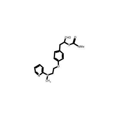 CNC(=O)SC(C=O)Cc1ccc(OCCN(C)c2ccccn2)cc1